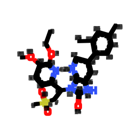 CCOc1nc(C(CS(C)(=O)=O)n2c(=O)[nH]c3cc(-c4ccc(C)cc4C)cnc32)ccc1OC